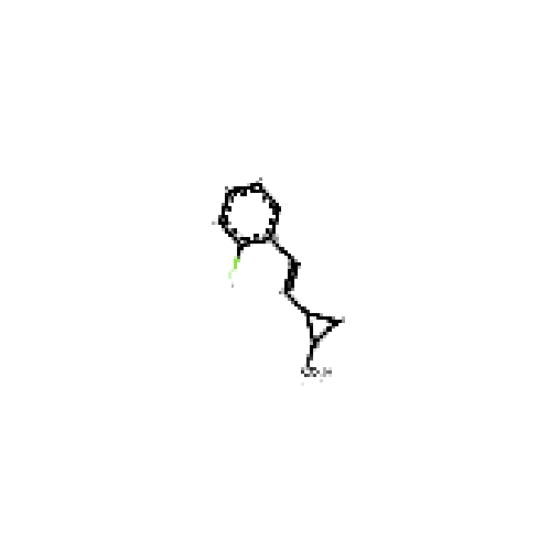 O=C(O)C1CC1C=Cc1ccccc1F